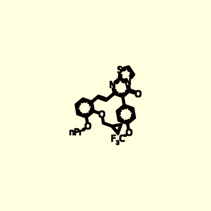 CCCOc1cccc(C=Cc2nc3sccn3c(=O)c2-c2ccc(OC(F)(F)F)cc2)c1OCC1CC1